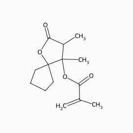 C=C(C)C(=O)OC1(C)C(C)C(=O)OC12CCCC2